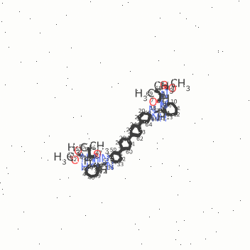 COC(=O)N[C@H](C(=O)N1[C@@H]2CCCC[C@@H](C2)[C@H]1c1nc2ccc(-c3ccc(-c4ccc(-c5ccc6nc([C@@H]7[C@H]8CCCC[C@H](C8)N7C(=O)[C@@H](NC(=O)OC)C(C)C)[nH]c6c5)cc4)cc3)cc2[nH]1)C(C)C